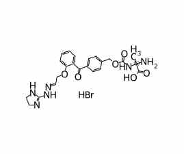 Br.C[C@](N)(NC(=O)OCc1ccc(C(=O)c2ccccc2OCC=NNC2=NCCN2)cc1)C(=O)O